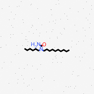 CCCCCCCCCCN(CCCCCC)C(N)=O